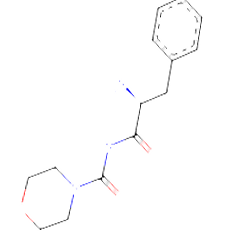 N[C@@H](Cc1ccccc1)C(=O)NC(=O)N1CCOCC1